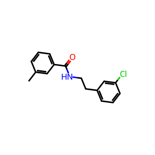 Cc1cccc(C(=O)NCCc2cccc(Cl)c2)c1